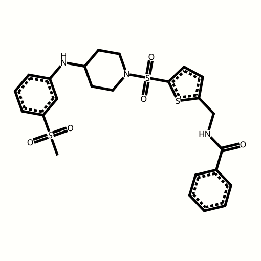 CS(=O)(=O)c1cccc(NC2CCN(S(=O)(=O)c3ccc(CNC(=O)c4ccccc4)s3)CC2)c1